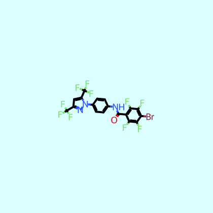 O=C(Nc1ccc(-n2nc(C(F)(F)F)cc2C(F)(F)F)cc1)c1c(F)c(F)c(Br)c(F)c1F